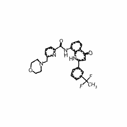 CC(F)(F)c1cccc(-c2cc(=O)c3cccc(NC(=O)c4cccc(CN5CCOCC5)n4)c3[nH]2)c1